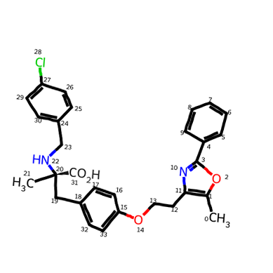 Cc1oc(-c2ccccc2)nc1CCOc1ccc(C[C@](C)(NCc2ccc(Cl)cc2)C(=O)O)cc1